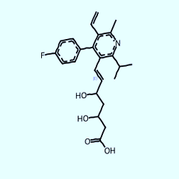 C=Cc1c(C)nc(C(C)C)c(/C=C/C(O)CC(O)CC(=O)O)c1-c1ccc(F)cc1